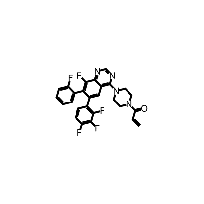 C=CC(=O)N1CCN(c2ncnc3c(F)c(-c4ccccc4F)c(-c4ccc(F)c(F)c4F)cc23)CC1